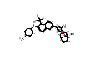 C[C@H]1CC[C@@H](Oc2ccc3cc(CCCN4C5CC[C@@H]4CC(C(=O)O)C5)ccc3c2C(F)(F)F)CC1